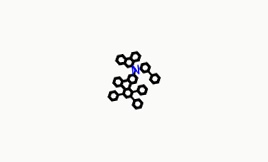 c1ccc(-c2cccc(N(c3ccc4c(c3)c3ccccc3c3c(-c5ccccc5)cc(-c5ccccc5)c(-c5ccccc5)c43)c3cc4ccccc4c4ccccc34)c2)cc1